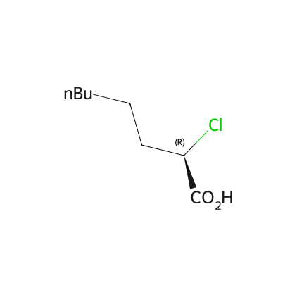 CCCCCC[C@@H](Cl)C(=O)O